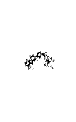 CC(C)(C)OC(=O)N1CCC(N2CCn3c(cc4c(N)ncnc43)C2)C1